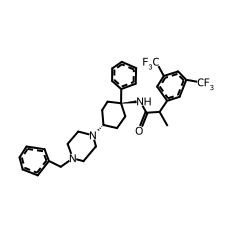 CC(C(=O)N[C@]1(c2ccccc2)CC[C@@H](N2CCN(Cc3ccccc3)CC2)CC1)c1cc(C(F)(F)F)cc(C(F)(F)F)c1